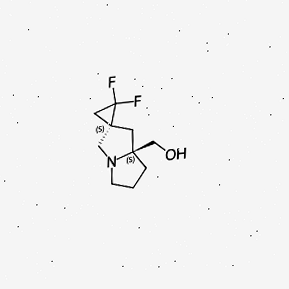 OC[C@@]12CCCN1C[C@@]1(CC1(F)F)C2